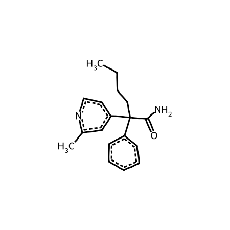 CCCCC(C(N)=O)(c1ccccc1)c1ccnc(C)c1